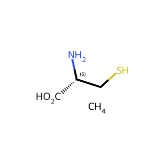 C.N[C@H](CS)C(=O)O